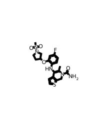 CC1=C(Nc2ccc(F)cc2OC2CCN(S(C)(=O)=O)C2)c2ccsc2CN1C(N)=O